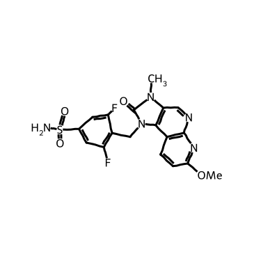 COc1ccc2c(ncc3c2n(Cc2c(F)cc(S(N)(=O)=O)cc2F)c(=O)n3C)n1